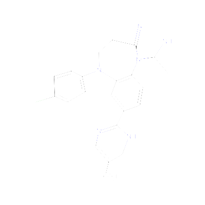 CC(N)N1C(=N)CCN(c2ccc(Cl)cc2)c2cc(C3=NC=C(C(=O)O)CN3)ccc21